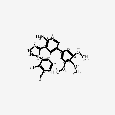 COc1cc(-c2cnc(N)c(-c3nnnn3-c3cccc(F)c3F)c2)cc(OC)c1OC